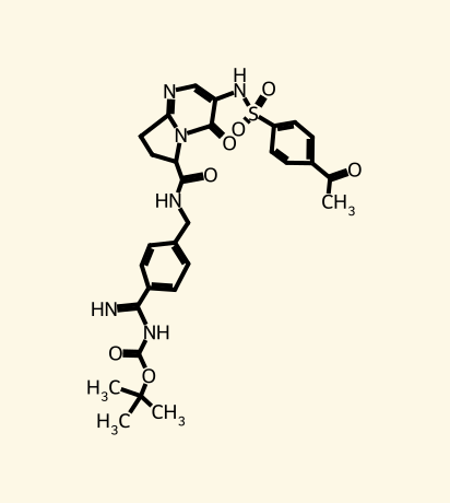 CC(=O)c1ccc(S(=O)(=O)Nc2cnc3n(c2=O)C(C(=O)NCc2ccc(C(=N)NC(=O)OC(C)(C)C)cc2)CC3)cc1